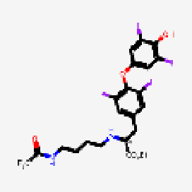 CCOC(=O)[C@H](Cc1cc(I)c(Oc2cc(I)c(O)c(I)c2)c(I)c1)NCCCCNC(=O)C(F)(F)F